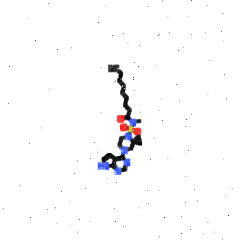 CN(C(=O)CCCCCCCC#N)S(=O)(=O)N1CCN(c2ncnc3[nH]ccc23)CC12CC2